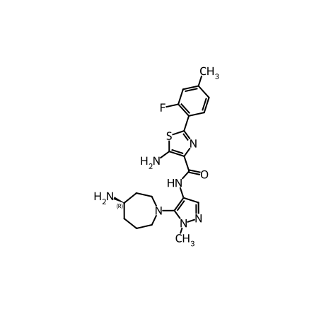 Cc1ccc(-c2nc(C(=O)Nc3cnn(C)c3N3CCC[C@@H](N)CC3)c(N)s2)c(F)c1